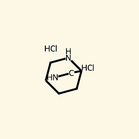 C1CC2CNC1CN2.Cl.Cl